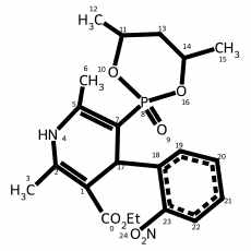 CCOC(=O)C1=C(C)NC(C)=C(P2(=O)OC(C)CC(C)O2)C1c1ccccc1[N+](=O)[O-]